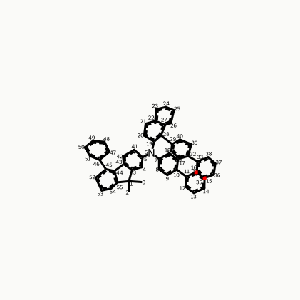 CC1(C)c2cc(N(c3ccc(-c4ccccc4)cc3)c3ccc4ccccc4c3-c3ccc(-c4ccccc4)cc3)ccc2-c2c(-c3ccccc3)cccc21